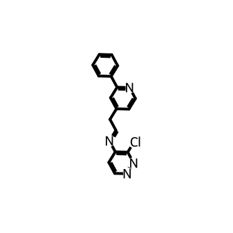 Clc1nnccc1N=CCc1ccnc(-c2ccccc2)c1